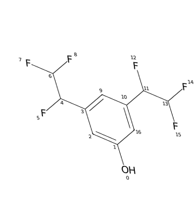 Oc1cc(C(F)C(F)F)cc(C(F)C(F)F)c1